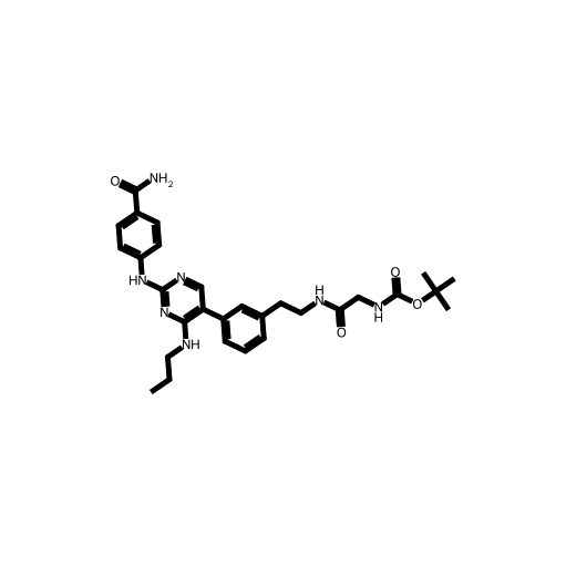 CCCNc1nc(Nc2ccc(C(N)=O)cc2)ncc1-c1cccc(CCNC(=O)CNC(=O)OC(C)(C)C)c1